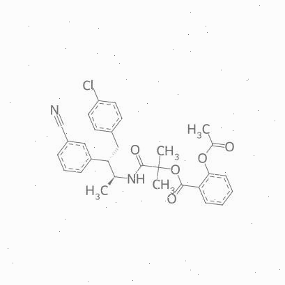 CC(=O)Oc1ccccc1C(=O)OC(C)(C)C(=O)N[C@@H](C)[C@@H](Cc1ccc(Cl)cc1)c1cccc(C#N)c1